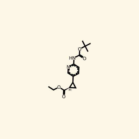 CCOC(=O)[C@@H]1CC1c1ccc(NC(=O)OC(C)(C)C)nc1